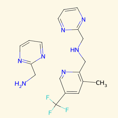 Cc1cc(C(F)(F)F)cnc1CNCc1ncccn1.NCc1ncccn1